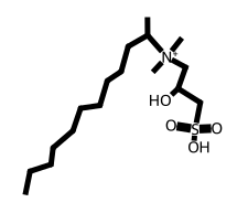 CCCCCCCCCCC(C)[N+](C)(C)CC(O)CS(=O)(=O)O